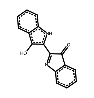 O=C1C(c2[nH]c3ccccc3c2O)=Nc2ccccc21